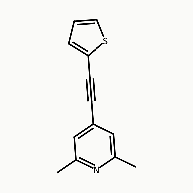 Cc1cc(C#Cc2cccs2)cc(C)n1